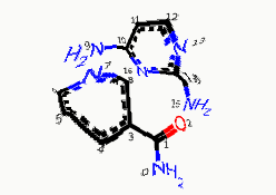 NC(=O)c1cccnc1.Nc1ccnc(N)n1